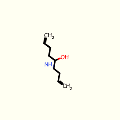 C=CCCC(O)CCC=C.N